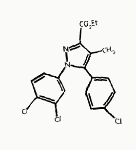 CCOC(=O)c1nn(-c2ccc(Cl)c(Cl)c2)c(-c2ccc(Cl)cc2)c1C